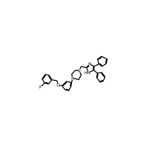 Fc1cccc(COc2cccc(N3CCN(Cc4nc(-c5ccccc5)c(-c5ccccc5)[nH]4)CC3)c2)c1